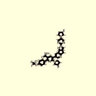 NC(=O)c1cc(-c2cnc3c(c2)-c2nn(-c4ncc(N5CC[C@H](F)C5)cn4)cc2C3)c(N2CC[C@@H](F)C2)nc1-c1ccc(OC(F)(F)Cl)cc1